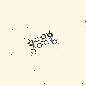 CC1=CC=C(N(c2ccc(C)c(C)c2)c2ccc3c(c2)C2(c4cc(-c5ccccc5)ccc4-c4ccc(-c5ccccc5)cc42)c2cc(N(c4ccc(C)c(C)c4)c4ccc(C)c(C)c4)ccc2-3)CC1C